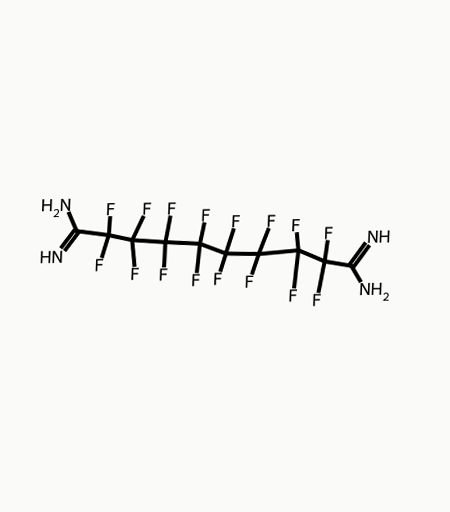 N=C(N)C(F)(F)C(F)(F)C(F)(F)C(F)(F)C(F)(F)C(F)(F)C(F)(F)C(F)(F)C(=N)N